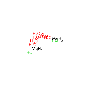 Cl.Cl.O.O.O.O.O.O.O.[MgH2].[MgH2]